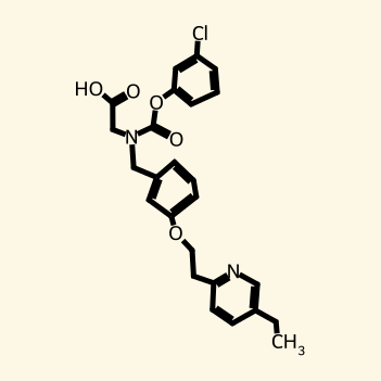 CCc1ccc(CCOc2cccc(CN(CC(=O)O)C(=O)Oc3cccc(Cl)c3)c2)nc1